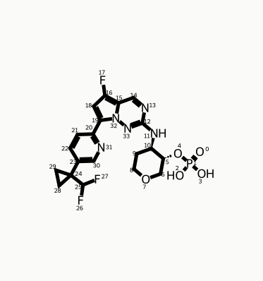 O=P(O)(O)O[C@@H]1COCC[C@H]1Nc1ncc2c(F)cc(-c3ccc(C4(C(F)F)CC4)cn3)n2n1